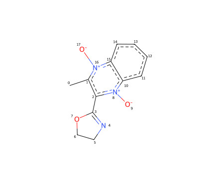 Cc1c(C2=NCCO2)[n+]([O-])c2ccccc2[n+]1[O-]